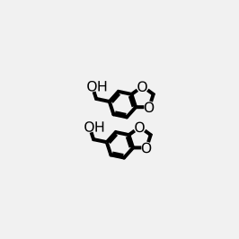 OCc1ccc2c(c1)OCO2.OCc1ccc2c(c1)OCO2